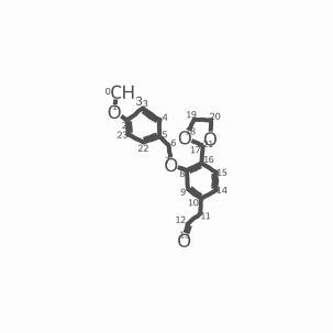 COc1ccc(COc2cc(CC=O)ccc2C2OCCO2)cc1